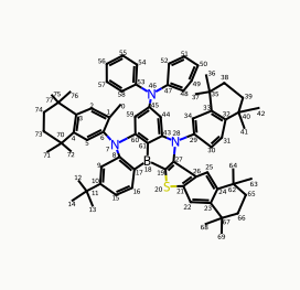 Cc1cc2c(cc1N1c3cc(C(C)(C)C)ccc3B3c4sc5cc6c(cc5c4N(c4ccc5c(c4)C(C)(C)CCC5(C)C)c4cc(N(c5ccccc5)c5ccccc5)cc1c43)C(C)(C)CCC6(C)C)C(C)(C)CCC2(C)C